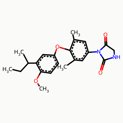 CCC(C)c1cc(Oc2c(C)cc(N3C(=O)CNC3=O)cc2C)ccc1OC